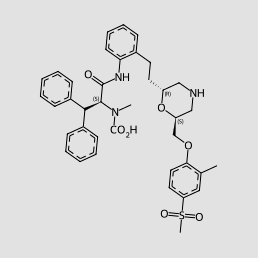 Cc1cc(S(C)(=O)=O)ccc1OC[C@@H]1CNC[C@@H](CCc2ccccc2NC(=O)[C@H](C(c2ccccc2)c2ccccc2)N(C)C(=O)O)O1